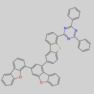 c1ccc(-c2nc(-c3ccccc3)nc(-c3cccc4c3sc3ccc(-c5cc(-c6cccc7c6oc6ccccc67)cc6oc7ccccc7c56)cc34)n2)cc1